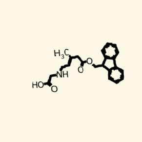 CC(=CCNCC(=O)O)CC(=O)OCC1c2ccccc2-c2ccccc21